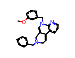 COc1cccc(CN2C=C3CN(Cc4ccccc4)CC=C3c3cccnc32)c1